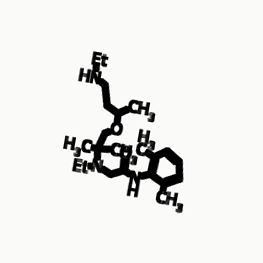 CCNCCC(C)OCC(C)(C)N(CC)CC(=O)Nc1c(C)cccc1C